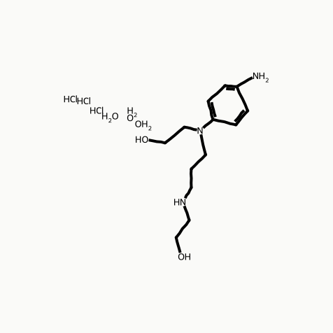 Cl.Cl.Cl.Nc1ccc(N(CCO)CCCNCCO)cc1.O.O.O